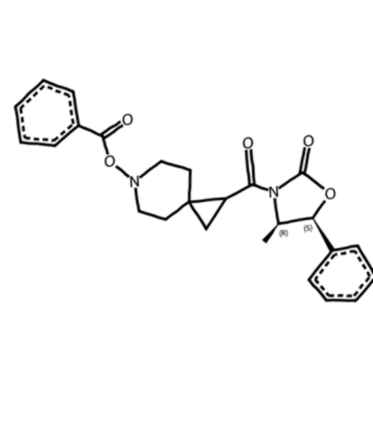 C[C@@H]1[C@H](c2ccccc2)OC(=O)N1C(=O)C1CC12CCN(OC(=O)c1ccccc1)CC2